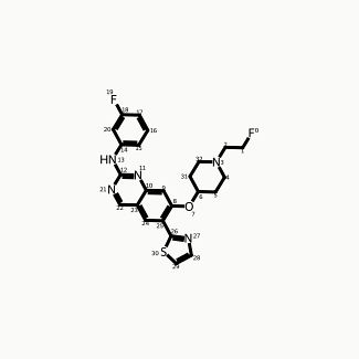 FCCN1CCC(Oc2cc3nc(Nc4cccc(F)c4)ncc3cc2-c2nccs2)CC1